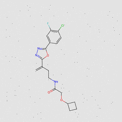 C=C(CCNC(=O)COC1CCC1)c1nnc(-c2ccc(Cl)c(F)c2)o1